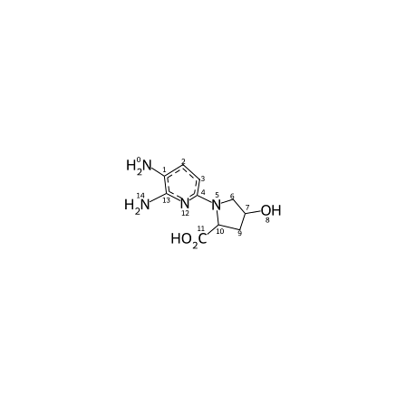 Nc1ccc(N2CC(O)CC2C(=O)O)nc1N